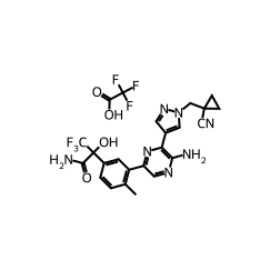 Cc1ccc(C(O)(C(N)=O)C(F)(F)F)cc1-c1cnc(N)c(-c2cnn(CC3(C#N)CC3)c2)n1.O=C(O)C(F)(F)F